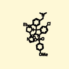 CCOc1ccc(CN(C)C)cc1C1(N2CCCC2c2ncco2)C(=O)N(S(=O)(=O)c2ccc(OC)cc2)c2ccc(Cl)cc21